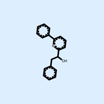 OC(Cc1ccccc1)c1cccc(-c2ccccc2)n1